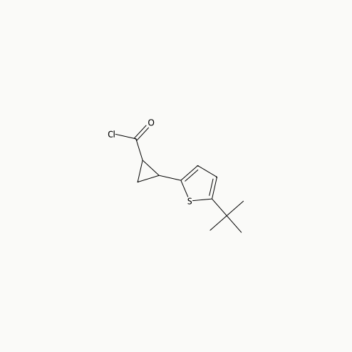 CC(C)(C)c1ccc(C2CC2C(=O)Cl)s1